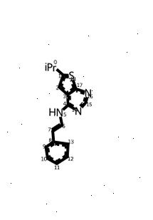 CC(C)c1cc2c(NC=Cc3ccccc3)ncnc2s1